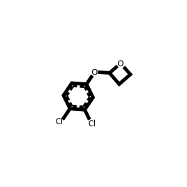 Clc1ccc(OC2CCO2)cc1Cl